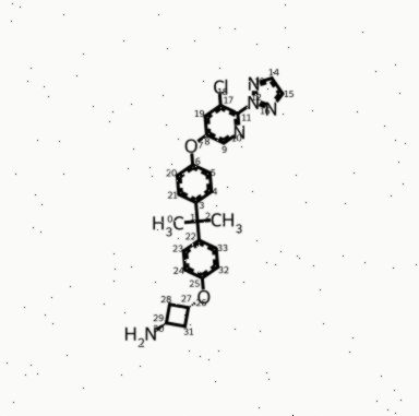 CC(C)(c1ccc(Oc2cnc(-n3nccn3)c(Cl)c2)cc1)c1ccc(O[C@H]2C[C@H](N)C2)cc1